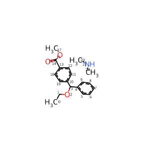 CCOC(c1ccccc1)c1ccc(C(=O)OC)cc1.CNC